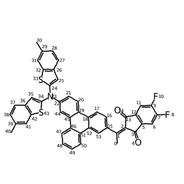 CC(=C1C(=O)c2cc(F)c(F)cc2C1=O)c1ccc2c3ccc(N(c4cc5ccc(C)cc5s4)c4cc5ccc(C)cc5s4)cc3c3ccccc3c2c1